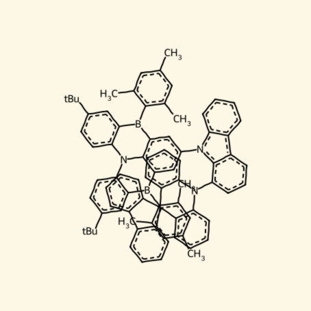 Cc1cc(C)c(B2c3cc(C(C)(C)C)ccc3N3c4ccc(C(C)(C)C)cc4B(c4c(C)cc(C)cc4C)c4cc(-n5c6ccccc6c6cccc(N7c8ccccc8C8(c9ccccc9-c9ccccc98)c8ccccc87)c65)cc2c43)c(C)c1